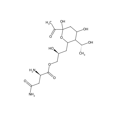 CC(=O)C1(O)CC(O)C([C@@H](C)O)C(C[C@H](O)COC(=O)[C@H](N)CC(N)=O)O1